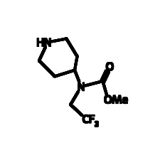 COC(=O)N(CC(F)(F)F)C1CCNCC1